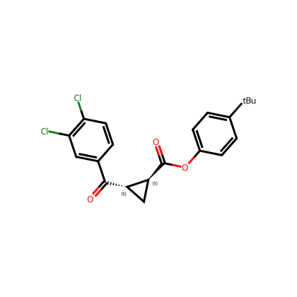 CC(C)(C)c1ccc(OC(=O)[C@H]2C[C@@H]2C(=O)c2ccc(Cl)c(Cl)c2)cc1